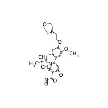 COc1cc2c(cc1OCCN1CCOCC1)CC(C(C)(C)C)n1cc(C(=O)N=O)c(=O)cc1-2